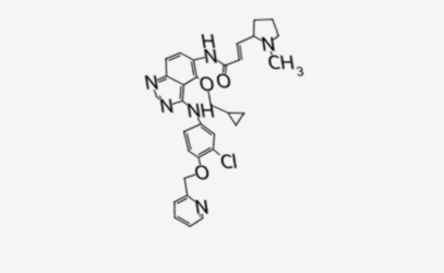 CN1CCCC1/C=C/C(=O)Nc1ccc2ncnc(Nc3ccc(OCc4ccccn4)c(Cl)c3)c2c1OCC1CC1